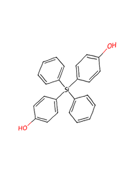 Oc1ccc([Si](c2ccccc2)(c2ccccc2)c2ccc(O)cc2)cc1